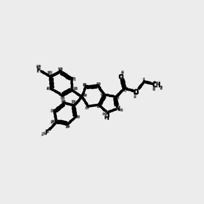 CCOC(=O)c1n[nH]c2c1C=CC(c1ccc(F)cc1)(c1ccc(F)cc1)C2